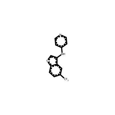 FC(F)(F)c1ccc2scc(Nc3ccncc3)c2c1